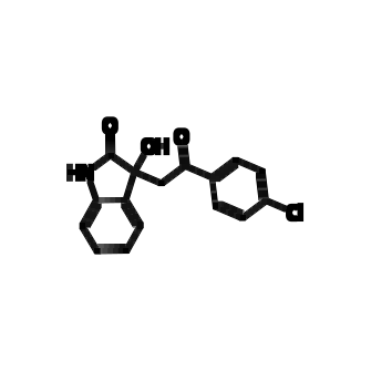 O=C(CC1(O)C(=O)Nc2ccccc21)c1ccc(Cl)cc1